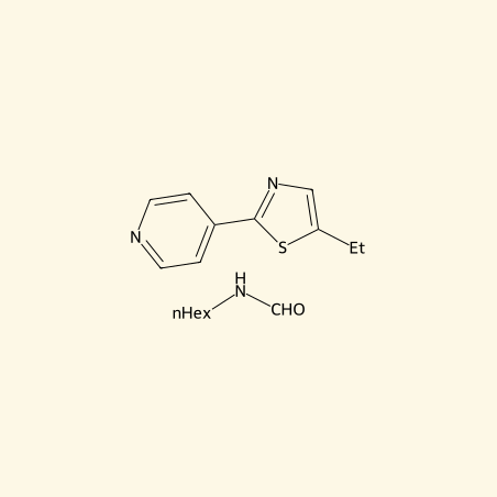 CCCCCCNC=O.CCc1cnc(-c2ccncc2)s1